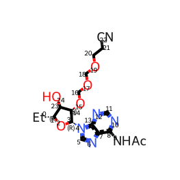 CC[C@H]1O[C@@H](n2cnc3c(NC(C)=O)ncnc32)[C@@H](OCOCOCCC#N)C1O